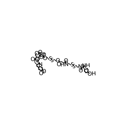 CC[C@@]1(OC(=O)OCCSSCCOC(=O)CCC(=O)NCCSSCCNC(=O)C(=N)c2ccc(O)cc2)C(=O)OCc2c1cc1n(c2=O)Cc2cc3cc4c(cc3nc2-1)OCO4